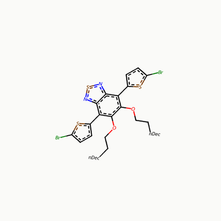 CCCCCCCCCCCCOc1c(OCCCCCCCCCCCC)c(-c2ccc(Br)s2)c2nsnc2c1-c1ccc(Br)s1